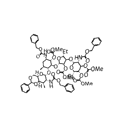 CC[C@@H]1O[C@H](O[C@H]2[C@@H](OC(=O)OC)[C@H](O[C@@H]3[C@@H](OC(=O)OC)[C@H](NC(=O)OCc4ccccc4)C[C@H](C)[C@H]3O[C@H]3O[C@@H]4COC(c5ccccc5)O[C@H]4[C@H](C)[C@H]3NC(=O)OCc3ccccc3)O[C@@H]2CC)[C@H](NC(=O)OCc2ccccc2)[C@@H](OC(=O)OC)[C@@H]1OC(=O)OC